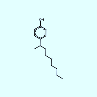 CCCC[CH]CCC(C)c1ccc(O)cc1